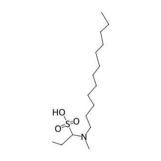 CCCCCCCCCCCCN(C)C(CC)S(=O)(=O)O